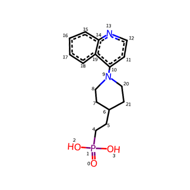 O=P(O)(O)CCC1CCN(c2ccnc3ccccc23)CC1